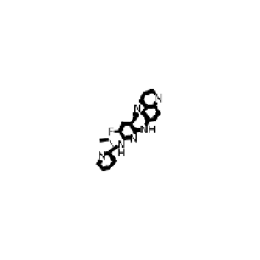 CC[C@H](Nc1nc(Nc2ccc3ncccc3c2)c(C#N)cc1F)c1ccccn1